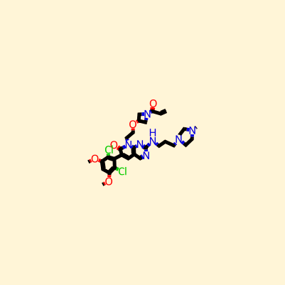 C=CC(=O)N1CC(OCCn2c(=O)c(-c3c(Cl)c(OC)cc(OC)c3Cl)cc3cnc(NCCCN4CCN(C)CC4)nc32)C1